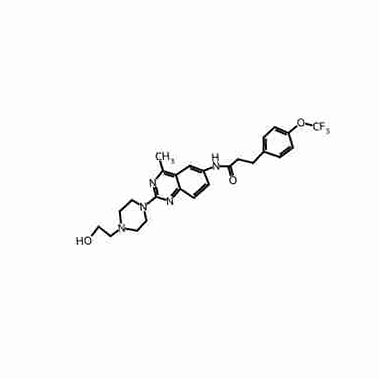 Cc1nc(N2CCN(CCO)CC2)nc2ccc(NC(=O)CCc3ccc(OC(F)(F)F)cc3)cc12